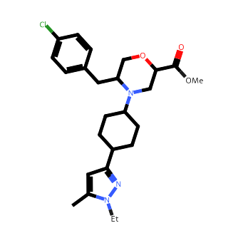 CCn1nc(C2CCC(N3CC(C(=O)OC)OCC3Cc3ccc(Cl)cc3)CC2)cc1C